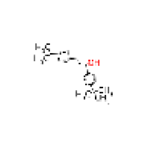 CC(C)c1ccc(CCC(O)c2ccc(C(C)(C)C)cc2)cc1